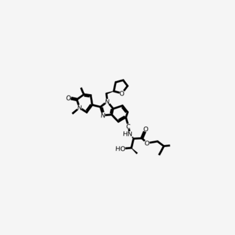 Cc1cc(-c2nc3cc(CN[C@H](C(=O)OCC(C)C)[C@@H](C)O)ccc3n2C[C@H]2CCCO2)cn(C)c1=O